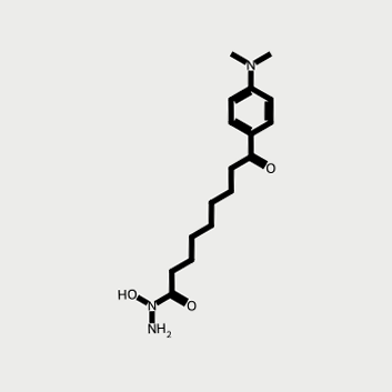 CN(C)c1ccc(C(=O)CCCCCCCC(=O)N(N)O)cc1